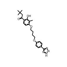 Cc1c(OCCCCOc2ccc(-c3nn[nH]n3)cc2)ccc(C(=O)CC(C)(C)C)c1O